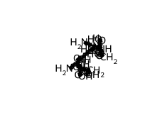 C=C(CC(=O)NC(CCC(=O)O)C(=O)N[C@@H](CCCCN)C(=O)NCCCCCCNC(=O)[C@H](CCCCN)NC(=O)C(CCC(=O)O)NC(=O)CC(=C)OO)OO